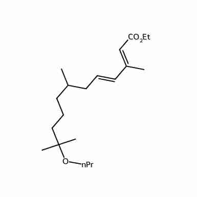 CCCOC(C)(C)CCCC(C)CC=CC(C)=CC(=O)OCC